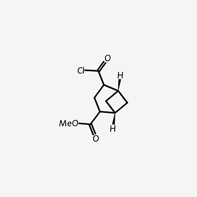 COC(=O)C1CC(C(=O)Cl)[C@H]2C[C@@H]1C2